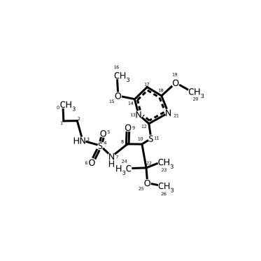 CCCNS(=O)(=O)NC(=O)C(Sc1nc(OC)cc(OC)n1)C(C)(C)OC